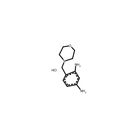 Cl.Nc1ccc(CN2CCOCC2)c(N)c1